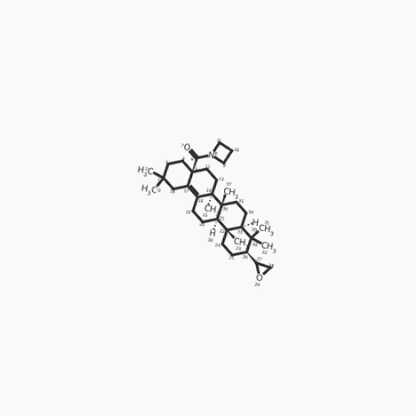 CC1(C)CC[C@]2(C(=O)N3CCC3)CC[C@]3(C)C(=C2C1)CC[C@@H]1[C@@]2(C)CC[C@H](C4CO4)C(C)(C)[C@@H]2CC[C@]13C